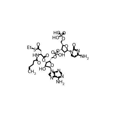 C=CCCC(=O)N[C@H](CC(=O)SCC)C(=O)O[C@H]1[C@@H](O)[C@H](n2cnc3c(N)ncnc32)O[C@H]1COP(=O)(O)O[C@H]1C[C@H](n2ccc(N)nc2=O)O[C@@H]1COP(=O)(O)O